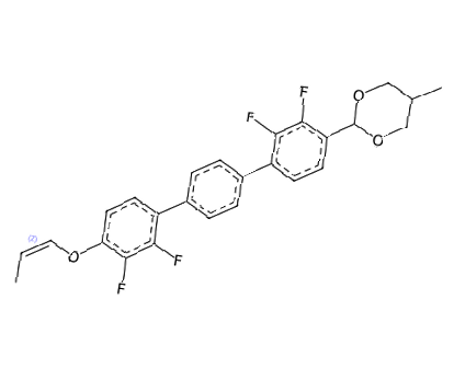 C/C=C\Oc1ccc(-c2ccc(-c3ccc(C4OCC(C)CO4)c(F)c3F)cc2)c(F)c1F